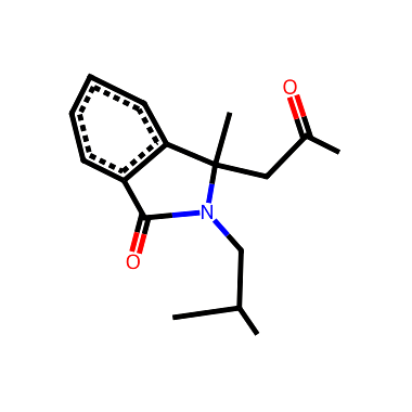 CC(=O)CC1(C)c2ccccc2C(=O)N1CC(C)C